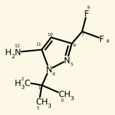 CC(C)(C)n1nc(C(F)F)cc1N